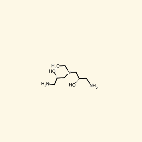 CCN(C[C@@H](O)CN)C[C@@H](O)CN